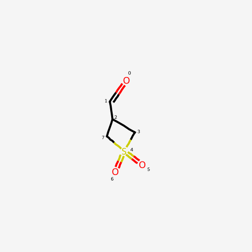 O=CC1CS(=O)(=O)C1